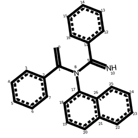 C=C(c1ccccc1)N(C(=N)c1ccccc1)c1cccc2ccccc12